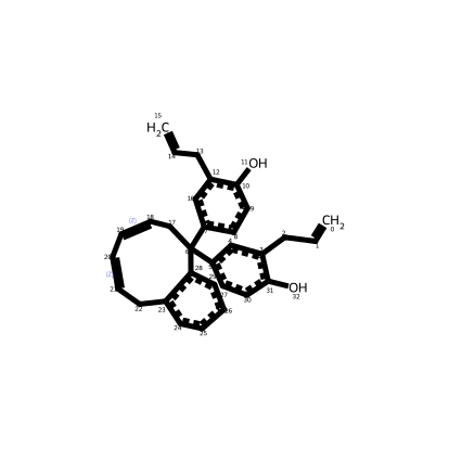 C=CCc1cc(C2(c3ccc(O)c(CC=C)c3)C/C=C\C=C/Cc3ccccc32)ccc1O